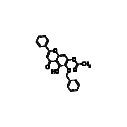 CC(=O)Oc1cc2oc(-c3ccccc3)cc(=O)c2c(O)c1OCc1ccccc1